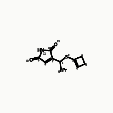 CCCC(SC1=CCC1)C1=CC(=O)NC1=O